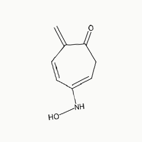 C=C1C=CC(NO)=CCC1=O